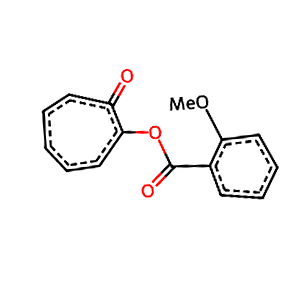 COc1ccccc1C(=O)Oc1cccccc1=O